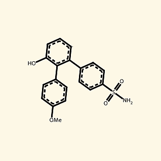 COc1ccc(-c2c(-c3ccc(S(N)(=O)=O)cc3)[c]ccc2O)cc1